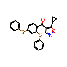 O=C(c1ccc(Sc2ccccc2)cc1Sc1ccccc1)c1cnoc1C1CC1